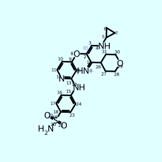 N=C(/C(=C\NC1CC1)Oc1ccnc(Nc2ccc(S(N)(=O)=O)cc2)c1)C1CCOCC1